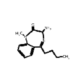 CCCCC1=NC(N)C(=O)N(C)c2ccccc21